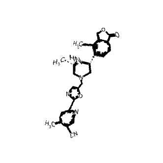 Cc1cc(-c2ncc(CN3C[C@@H](c4ccc5c(c4C)COC5=O)N[C@@H](C)C3)o2)ncc1C#N